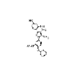 COc1cc(-n2nc3c(c2N)c(=O)[nH]c2cc(O)ccc23)ccc1Oc1ccccc1